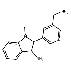 CN1c2ccccc2C(N)C1c1cncc(CN)c1